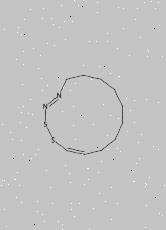 C1=C\SS/N=N/CCCCCCCC/1